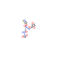 CC1=C(C)C(=O)C(C(C)(C)CC(=O)N(C)CCN(CCCC(=O)NCCN2C(=O)C=CC2=O)C(=O)Oc2ccc3nc(C)sc3c2)=C(C)C1=O